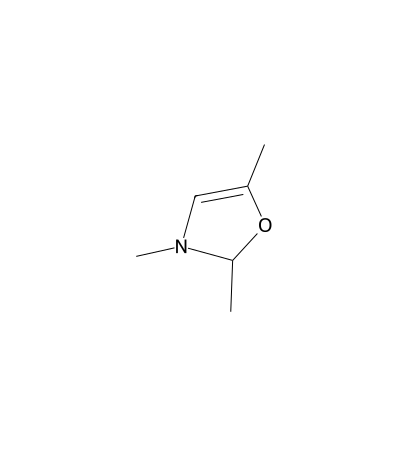 CC1=CN(C)C(C)O1